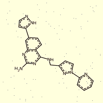 Nc1nc(NCc2ccn(-c3ccccn3)n2)c2ccc(-c3ccn[nH]3)cc2n1